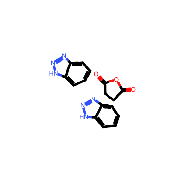 O=C1CCC(=O)O1.c1ccc2[nH]nnc2c1.c1ccc2[nH]nnc2c1